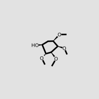 CO[C@H]1[C@H](OC)[C@@H](O)C[C@@H](OC)[C@H]1OC